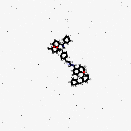 Cc1c#cc(N(/C=C(\C2=CC=CCC2)c2ccccc2)c2ccc(/C=C/C=C/c3ccc(N(c4ccccc4C)c4ccccc4C)c4ccccc34)cc2)cc1